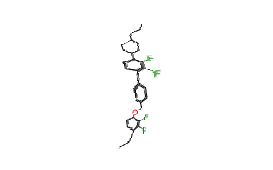 CCCC1CCC(c2ccc(-c3ccc(COc4ccc(CC)c(F)c4F)cc3)c(F)c2F)CC1